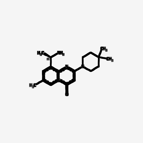 Cc1cc([C@@H](C)N)c2nc(N3CCC(C)(C)CC3)cc(=O)n2c1